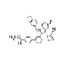 COC(=O)c1ccc(-c2cccc(-c3c(-c4ccsc4C#N)c4cc(F)ccc4n3Sc3ccc4c(c3)CCC4)c2)cc1